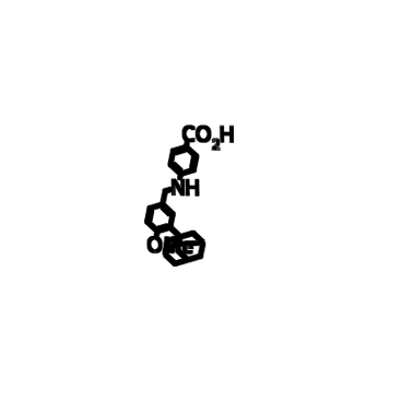 COc1ccc(CNc2ccc(C(=O)O)cc2)cc1C12CC3CC(CC(C3)C1)C2